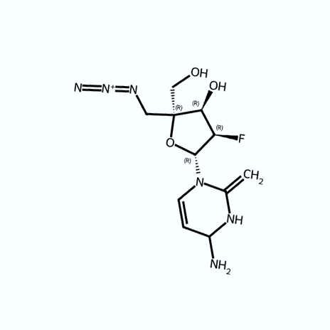 C=C1NC(N)C=CN1[C@@H]1O[C@@](CO)(CN=[N+]=[N-])[C@@H](O)[C@H]1F